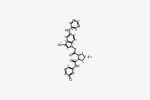 CC(=O)c1cn(CC(=O)N2C[C@H](F)C[C@H]2C(=O)Nc2cncc(Cl)n2)c2ccc(Nc3cncnc3)cc12